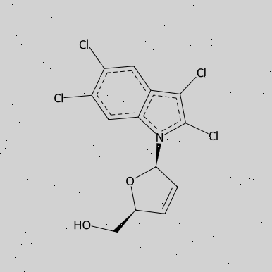 OC[C@@H]1C=C[C@H](n2c(Cl)c(Cl)c3cc(Cl)c(Cl)cc32)O1